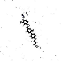 C/C=C/Oc1ccc(OCc2ccc(-c3ccc(CCCCC)cc3)c(F)c2)c(F)c1F